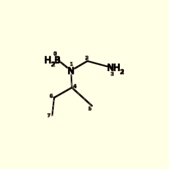 BN(CN)C(C)CC